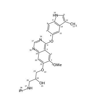 COc1cc2c(Oc3ccc4[nH]cc(C)c4c3)ncnc2cc1OCC(O)CNC(C)C